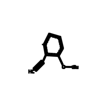 C#Cc1[c]cccc1OC(C)(C)C